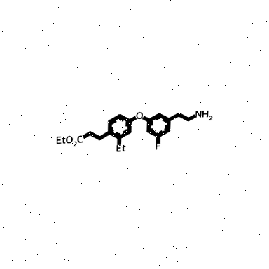 CCOC(=O)CCc1ccc(Oc2cc(F)cc(CCN)c2)cc1CC